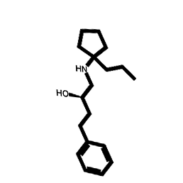 CCCC1(NC[C@H](O)CCc2ccccc2)CCCC1